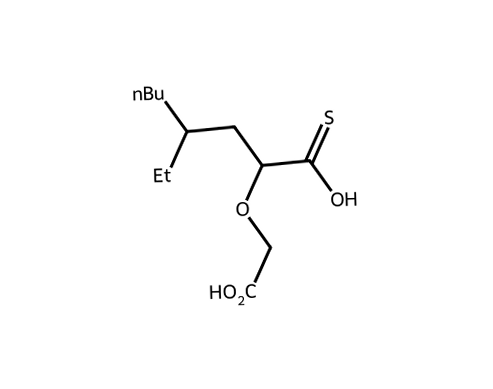 CCCCC(CC)CC(OCC(=O)O)C(O)=S